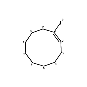 IC1=CCCCCCCCC1